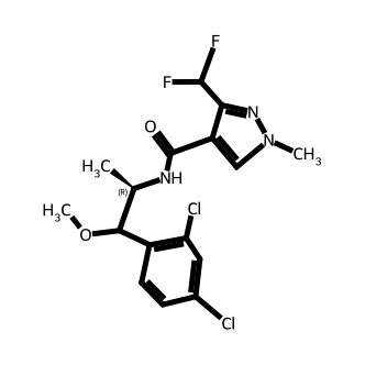 COC(c1ccc(Cl)cc1Cl)[C@@H](C)NC(=O)c1cn(C)nc1C(F)F